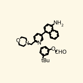 CC(C)(C)c1cccc(OC=O)c1.Nc1ccc(-c2ccc(CN3CCOCC3)nc2)c2ccccc12